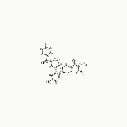 C=C(C)C(=O)N1CCN(c2ccc(Cl)cc2)[C@H](c2ccc(C(=O)N3CCNCC3)cc2)C1